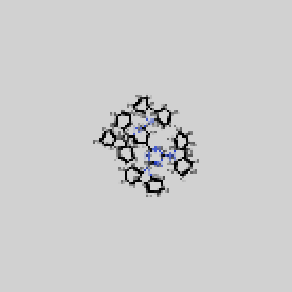 c1ccc([Si](c2ccccc2)(c2ccccc2)c2cc(-c3nc(-n4c5ccccc5c5ccccc54)nc(-n4c5ccccc5c5ccccc54)n3)cc(-n3c4ccccc4c4ccccc43)n2)cc1